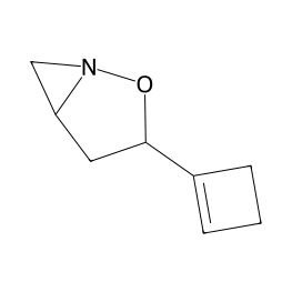 C1=C(C2CC3CN3O2)CC1